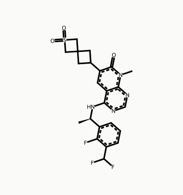 C[C@@H](Nc1ncnc2c1cc(C1CC3(C1)CS(=O)(=O)C3)c(=O)n2C)c1cccc(C(F)F)c1F